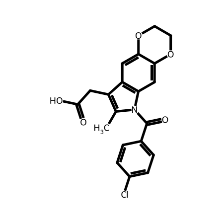 Cc1c(CC(=O)O)c2cc3c(cc2n1C(=O)c1ccc(Cl)cc1)OCCO3